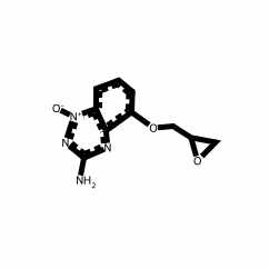 Nc1nc2c(OCC3CO3)cccc2[n+]([O-])n1